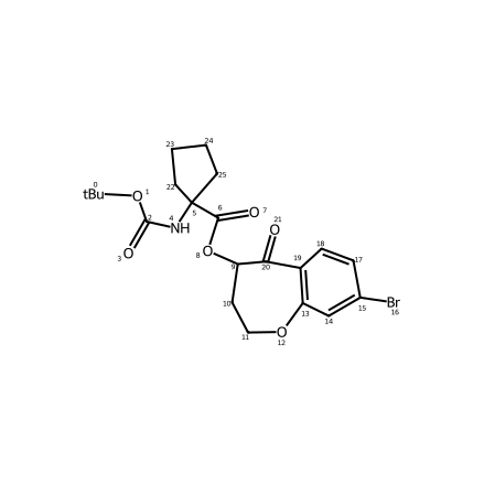 CC(C)(C)OC(=O)NC1(C(=O)OC2CCOc3cc(Br)ccc3C2=O)CCCC1